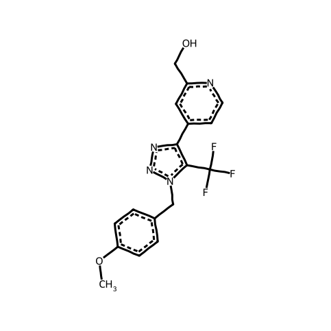 COc1ccc(Cn2nnc(-c3ccnc(CO)c3)c2C(F)(F)F)cc1